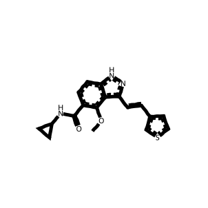 COc1c(C(=O)NC2CC2)ccc2[nH]nc(C=Cc3ccsc3)c12